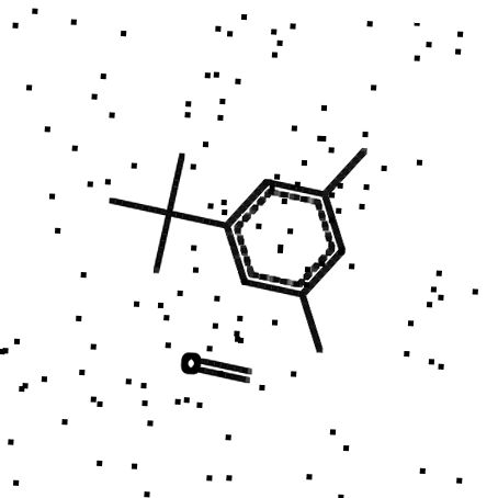 C=O.Cc1cc(C)cc(C(C)(C)C)c1